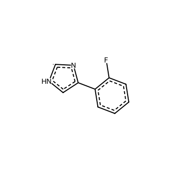 Fc1ccccc1-c1c[nH][c]n1